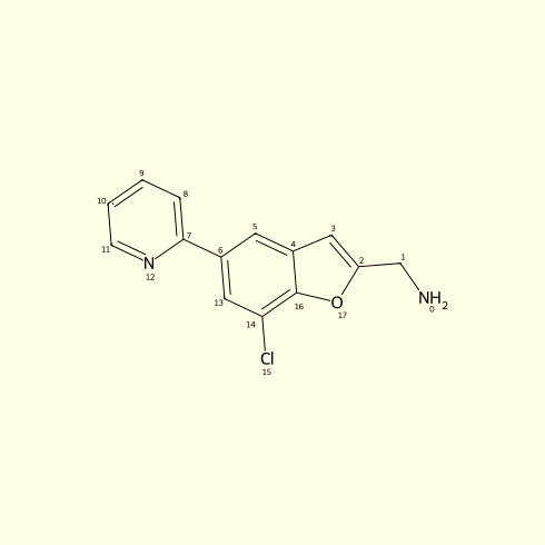 NCc1cc2cc(-c3cc[c]cn3)cc(Cl)c2o1